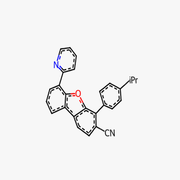 CC(C)c1ccc(-c2c(C#N)ccc3c2oc2c(-c4ccccn4)cccc23)cc1